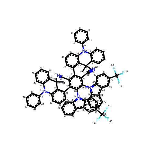 CC1(C)c2ccccc2N(c2ccccc2)c2cccc(-c3c(C#N)c(-c4cccc5c4C(C)(C)c4ccccc4N5c4ccccc4)c(-n4c5ccccc5c5cc(C(F)(F)F)ccc54)c(-n4c5ccccc5c5cc(C(F)(F)F)ccc54)c3C#N)c21